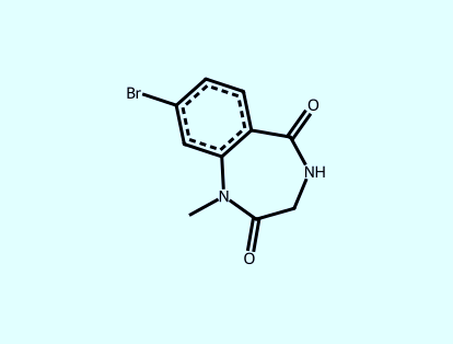 CN1C(=O)CNC(=O)c2ccc(Br)cc21